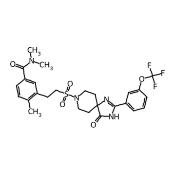 Cc1ccc(C(=O)N(C)C)cc1CCS(=O)(=O)N1CCC2(CC1)N=C(c1cccc(OC(F)(F)F)c1)NC2=O